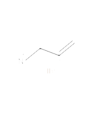 Br.C=C[CH2][Ni]